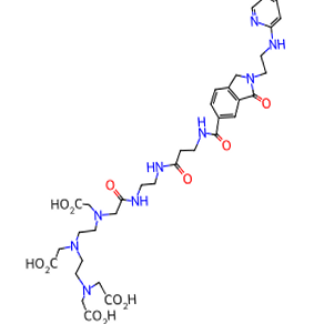 O=C(O)CN(CCN(CC(=O)O)CC(=O)O)CCN(CC(=O)O)CC(=O)NCCNC(=O)CCNC(=O)c1ccc2c(c1)C(=O)N(CCNc1ccccn1)C2